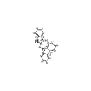 c1ccc2[nH]c(Cn3c4ccccc4c4ccccc43)nc2c1